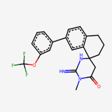 CN1C(=N)NC2(CCCc3ccc(-c4cccc(OC(F)(F)F)c4)cc32)CC1=O